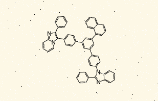 c1ccc(-c2nc3ccccn3c2-c2ccc(-c3cc(-c4ccc(-n5c(-c6ccccc6)nc6ccccc65)cc4)cc(-c4cccc5ccccc45)c3)cc2)cc1